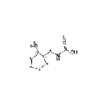 O=C(O)NCC1CCCCC1O